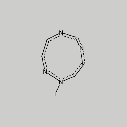 In1ccncnccn1